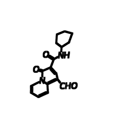 O=Cc1cc(C(=O)NC2CCCCC2)c(=O)n2ccccc12